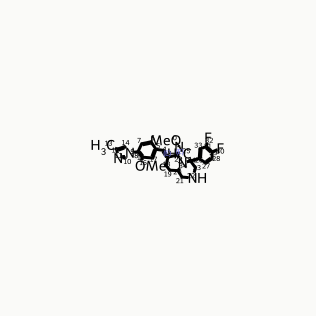 CO/N=C1\C(=C\c2ccc(-n3cnc(C)c3)c(OC)c2)CCC2CNCC(C)(c3ccc(F)c(F)c3)N12